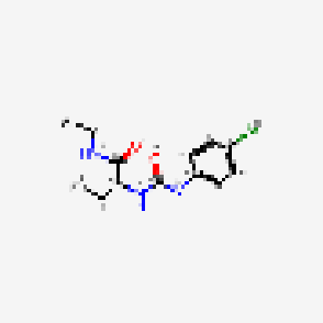 CC(=O)CNC(=O)[C@H](CC(C)C)NC(=O)Nc1ccc(Br)cc1